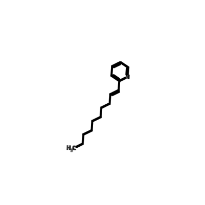 CCCCCCCCC=Cc1ccccn1